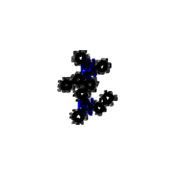 c1ccc(-c2cccc(-c3nc(-c4ccccc4)nc(-c4cccc(-c5cccc6c5c5cc(-c7ccccc7)ccc5n6-c5nc(-c6ccccc6)nc(-c6ccccc6)n5)c4)n3)c2)cc1